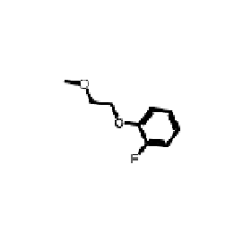 COCCOc1ccccc1F